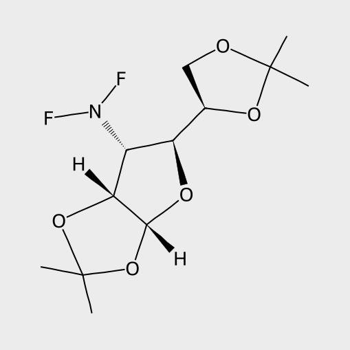 CC1(C)O[C@H]2O[C@H]([C@H]3COC(C)(C)O3)[C@@H](N(F)F)[C@H]2O1